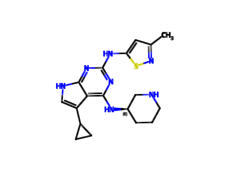 Cc1cc(Nc2nc(N[C@@H]3CCCNC3)c3c(C4CC4)c[nH]c3n2)sn1